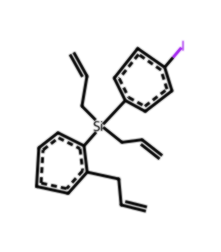 C=CCc1ccccc1[Si](CC=C)(CC=C)c1ccc(I)cc1